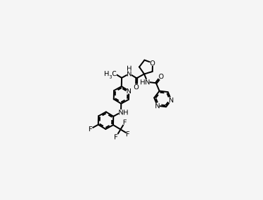 CC(NC(=O)C1(NC(=O)c2cncnc2)CCOC1)c1ccc(Nc2ccc(F)cc2C(F)(F)F)cn1